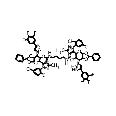 Cc1nc(C2OC3OC(c4ccccc4)OC3C(N3C=C(c4cc(F)c(F)c(F)c4)NN3)C2OC(=O)NCCCCNC(=O)OC2C(c3nc(C)nn3-c3cc(Cl)ccc3Cl)OC3OC(c4ccccc4)OC3C2n2cc(-c3cc(F)c(F)c(F)c3)nn2)n(-c2cc(Cl)ccc2Cl)n1